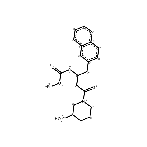 CC(C)(C)OC(=O)NC(CC(=O)N1CCCC(C(=O)O)C1)Cc1ccc2ccccc2c1